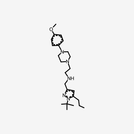 CCCc1cc(CNCCN2CCN(c3ccc(OC)cc3)CC2)nn1C(C)(C)C